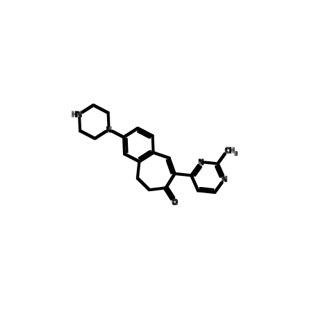 Cc1nccc(C2=Cc3ccc(N4CCNCC4)cc3CCC2=O)n1